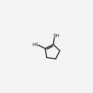 SC1=C(S)CCC1